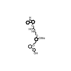 COc1cc(CCO[C@H]2CCCC[C@H]2N2CCC(O)C2)ccc1OCCNCC(O)COc1cccc2[nH]c3ccccc3c12